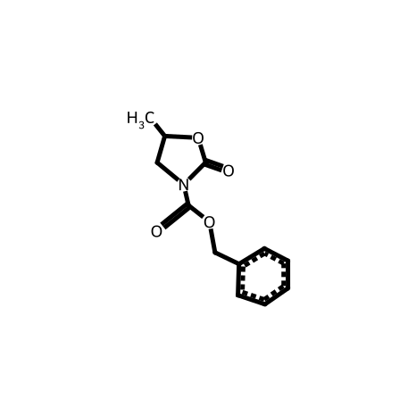 CC1CN(C(=O)OCc2ccccc2)C(=O)O1